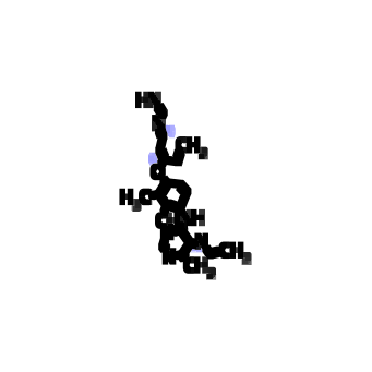 C=C/N=C1\C(=C)N=CN=C1Nc1ccc(O/C(C=C)=C/C=N/C=N)c(C)c1C